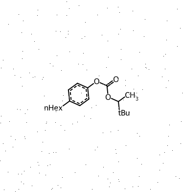 CCCCCCc1ccc(OC(=O)OC(C)C(C)(C)C)cc1